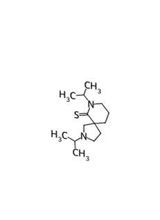 CC(C)N1CCC2(CCCN(C(C)C)C2=S)C1